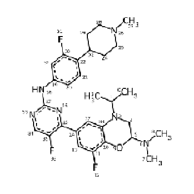 CC(C)N1CC(N(C)C)Oc2c(F)cc(-c3nc(Nc4ccc(C5CCN(C)CC5)c(F)c4)ncc3F)cc21